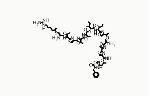 C=C(CCCCNC(=N)N)S/C=C(\N)c1nc(-c2nc(-c3nc(-c4nc(C(=O)N[C@H](C(=O)N[C@H](c5nc(C(=C)O/C=C(\N)c6nc(-c7nc(C(=N)OC(C)CC(=O)N[C@@H](Cc8ccccc8)C(=O)O)co7)co6)co5)[C@@H](C)CC)[C@@H](C)CC)c(C)o4)c(C)o3)cs2)c(C)o1